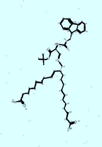 CC(C)(C)OC(=O)[C@H](CSC[C@H](CCCCCCCCCCC(=O)O)CCCCCCCCCC(=O)O)NC(=O)OCC1c2ccccc2-c2ccccc21